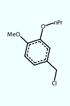 CCCOc1cc(CCl)ccc1OC